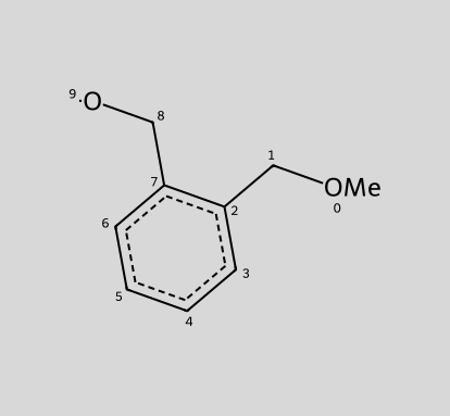 COCc1ccccc1C[O]